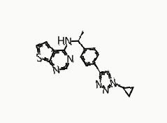 C[C@H](Nc1ncnc2sccc12)c1ccc(-c2cn(C3CC3)nn2)cc1